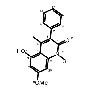 COc1cc(O)c2c(C)c(-c3ccccc3)c(=O)n(C)c2c1